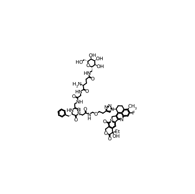 CC[C@@]1(O)C(=O)OCc2c1cc1n(c2=O)Cc2c-1nc1cc(F)c(C)c3c1c2[C@@H](n1cc(CCOCNC(=O)CNC(=O)[C@H](Cc2ccccc2)NC(=O)CNC(=O)CNC(=O)[C@@H](N)CCC(=O)NC[C@@H]2O[C@H](CO)[C@@H](O)[C@H](O)[C@H]2O)nn1)CC3